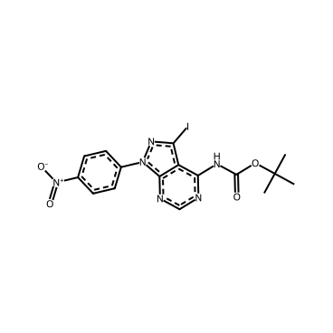 CC(C)(C)OC(=O)Nc1ncnc2c1c(I)nn2-c1ccc([N+](=O)[O-])cc1